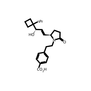 CCCC1([C@@H](O)C=C[C@H]2CCC(=O)N2CCc2ccc(C(=O)O)cc2)CCC1